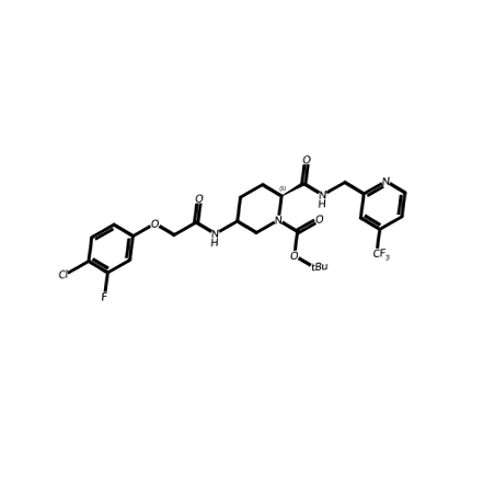 CC(C)(C)OC(=O)N1CC(NC(=O)COc2ccc(Cl)c(F)c2)CC[C@H]1C(=O)NCc1cc(C(F)(F)F)ccn1